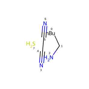 CCCCCN.N#CC#N.S